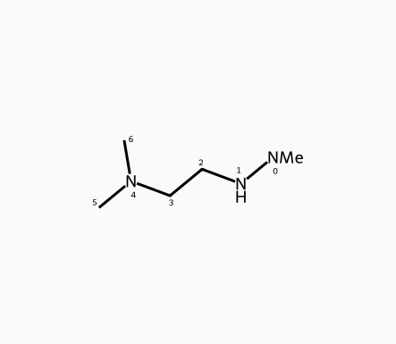 [CH2]NNCCN(C)C